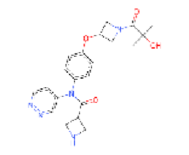 CC(C)(O)C(=O)N1CC(Oc2ccc(N(C(=O)C3CNC3)c3ccnnc3)cc2)C1